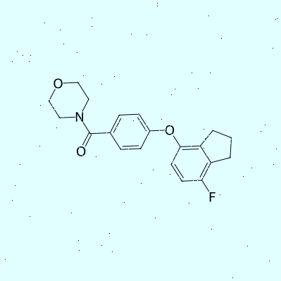 O=C(c1ccc(Oc2ccc(F)c3c2CCC3)cc1)N1CCOCC1